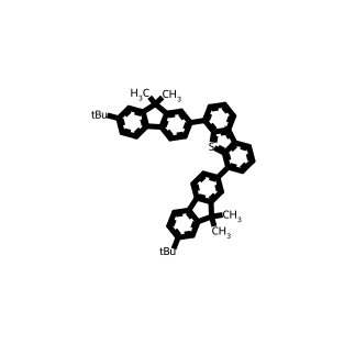 CC(C)(C)c1ccc2c(c1)C(C)(C)c1cc(-c3cccc4c3sc3c(-c5ccc6c(c5)C(C)(C)c5cc(C(C)(C)C)ccc5-6)cccc34)ccc1-2